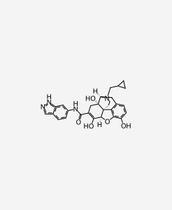 O=C(Nc1ccc2cn[nH]c2c1)C1=C(O)[C@@H]2Oc3c(O)ccc4c3[C@@]23CCN(CC2CC2)[C@H](C4)[C@]3(O)C1